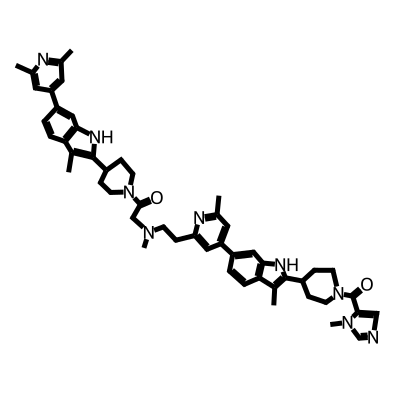 Cc1cc(-c2ccc3c(C)c(C4CCN(C(=O)CN(C)CCc5cc(-c6ccc7c(C)c(C8CCN(C(=O)c9cncn9C)CC8)[nH]c7c6)cc(C)n5)CC4)[nH]c3c2)cc(C)n1